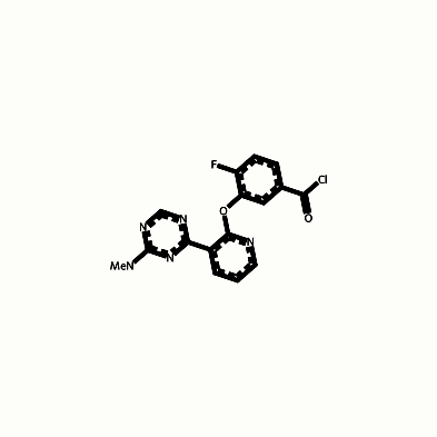 CNc1ncnc(-c2cccnc2Oc2cc(C(=O)Cl)ccc2F)n1